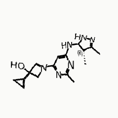 CC1=NNC(Nc2cc(N3CC(O)(C4CC4)C3)nc(C)n2)[C@H]1C